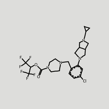 O=C(OC(C(F)(F)F)C(F)(F)F)N1CCN(Cc2ccc(Cl)cc2N2CC3CN(C4CC4)CC3C2)CC1